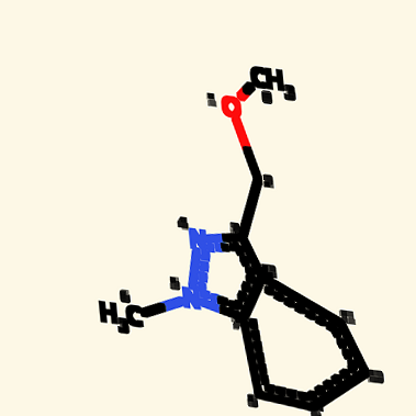 COCc1nn(C)c2c[c]ccc12